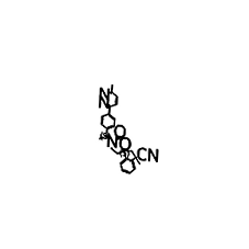 Cc1ccc(-c2ccc([C@H](C)N3CC[C@@](CC(C)(C)C#N)(c4ccccc4)OC3=O)cc2)nn1